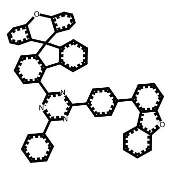 c1ccc(-c2nc(-c3ccc(-c4cccc5oc6ccccc6c45)cc3)nc(-c3cccc4c3-c3ccccc3C43c4ccccc4Oc4ccccc43)n2)cc1